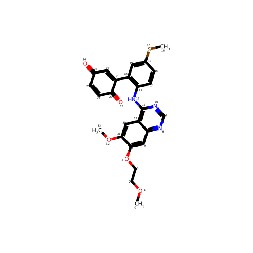 COCCOc1cc2ncnc(Nc3ccc(SC)cc3C3=CC(=O)C=CC3=O)c2cc1OC